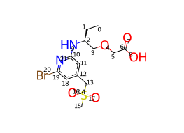 CC[C@@H](COCC(=O)O)Nc1cc(CS(C)(=O)=O)cc(Br)n1